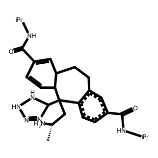 CC(C)NC(=O)C1=CC2CCc3cc(C(=O)NC(C)C)ccc3C(C[C@H](C)N)(C3N=NNN3)C2C=C1